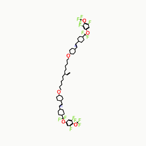 C=CC(CCCCCCOC1CCC(/C=C/C2CCC(C(F)(F)Oc3cc(F)c(OC(F)(F)F)c(F)c3)CC2)CC1)CCCCCCOC1CCC(/C=C/C2CCC(C(F)(F)Oc3cc(F)c(OC(F)(F)F)c(F)c3)CC2)CC1